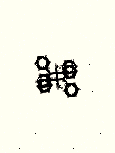 NC(c1ccccc1)(C(c1ccccc1)c1ccccc1)C(N)(c1ccccc1)C(c1ccccc1)c1ccccc1